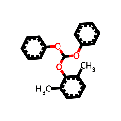 Cc1cccc(C)c1OC(Oc1ccccc1)Oc1ccccc1